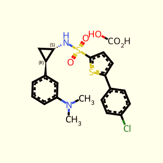 CN(C)c1cccc([C@H]2C[C@@H]2NS(=O)(=O)c2ccc(-c3ccc(Cl)cc3)s2)c1.O=C(O)O